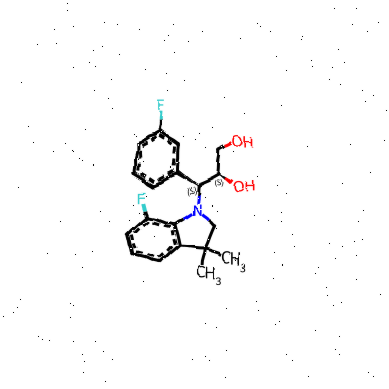 CC1(C)CN([C@@H](c2cccc(F)c2)[C@H](O)CO)c2c(F)cccc21